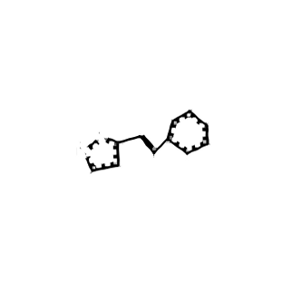 [c]1ccc(/C=C/c2cc[nH]n2)cc1